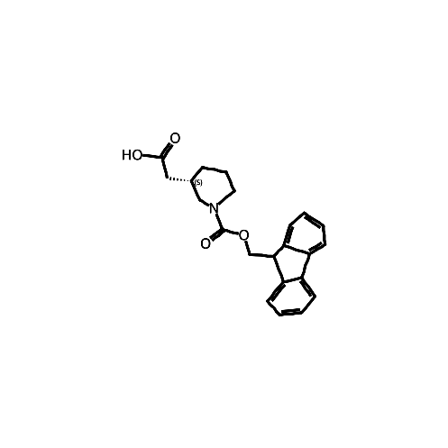 O=C(O)C[C@@H]1CCCN(C(=O)OCC2c3ccccc3-c3ccccc32)C1